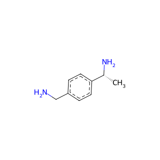 C[C@@H](N)c1ccc(CN)cc1